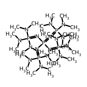 CN(C)P(=NP(N=P(N(C)C)(N(C)C)N(C)C)(N=P(N(C)C)(N(C)C)N(C)C)=[N+]=P(N(C)C)(N(C)C)N(C)C)(N(C)C)N(C)C